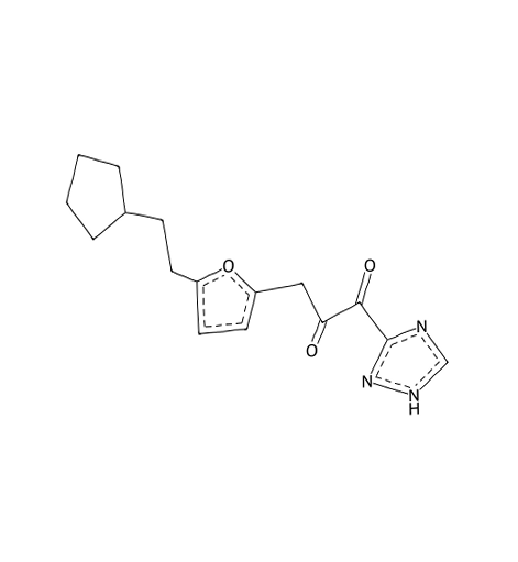 O=C(Cc1ccc(CCC2CCCC2)o1)C(=O)c1nc[nH]n1